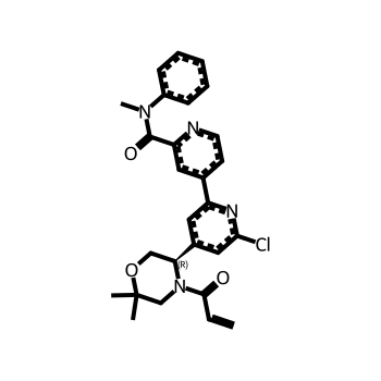 C=CC(=O)N1CC(C)(C)OC[C@H]1c1cc(Cl)nc(-c2ccnc(C(=O)N(C)c3ccccc3)c2)c1